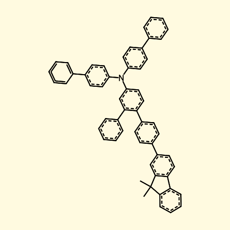 CC1(C)c2ccccc2-c2ccc(-c3ccc(-c4ccc(N(c5ccc(C6=CC=C=C=C6)cc5)c5ccc(-c6ccccc6)cc5)cc4-c4ccccc4)cc3)cc21